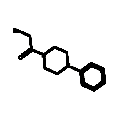 O=C(CBr)N1CCN(c2ccccc2)CC1